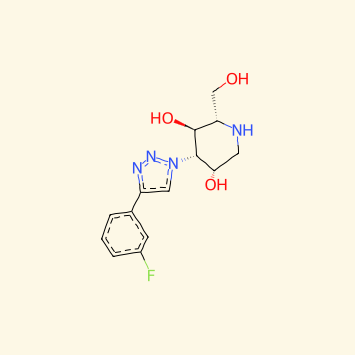 OC[C@@H]1NC[C@H](O)[C@H](n2cc(-c3cccc(F)c3)nn2)[C@H]1O